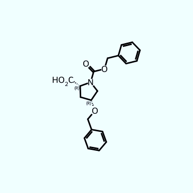 O=C(O)[C@H]1C[C@@H](OCc2ccccc2)CN1C(=O)OCc1ccccc1